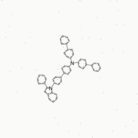 c1ccc(-c2ccc(N(c3ccc(-c4ccccc4)cc3)c3ccc(-c4ccc(-n5c(-c6ccccc6)cc6ccccc65)cc4)cc3)cc2)cc1